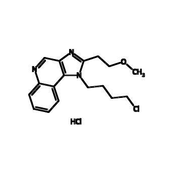 COCCc1nc2cnc3ccccc3c2n1CCCCCl.Cl